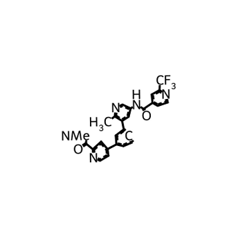 CNC(=O)c1cc(-c2cccc(-c3cc(NC(=O)c4ccnc(C(F)(F)F)c4)cnc3C)c2)ccn1